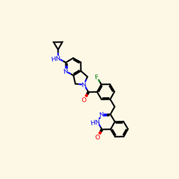 O=C(c1cc(Cc2n[nH]c(=O)c3ccccc23)ccc1F)N1Cc2ccc(NC3CC3)nc2C1